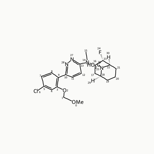 COCOc1cc(Cl)ccc1-c1ccc(N(C)[C@H]2C[C@@H]3CCC[C@H]([C@H]2F)N3C(=O)O)nn1